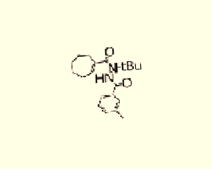 Cc1cccc(C(=O)NN(C(=O)C2=CCCCCC2)C(C)(C)C)c1